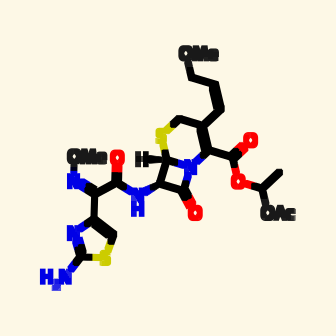 COC/C=C\C1=C(C(=O)OC(C)OC(C)=O)N2C(=O)[C@@H](NC(=O)/C(=N\OC)c3csc(N)n3)[C@@H]2SC1